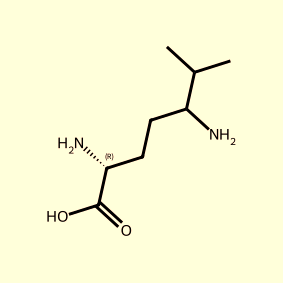 CC(C)C(N)CC[C@@H](N)C(=O)O